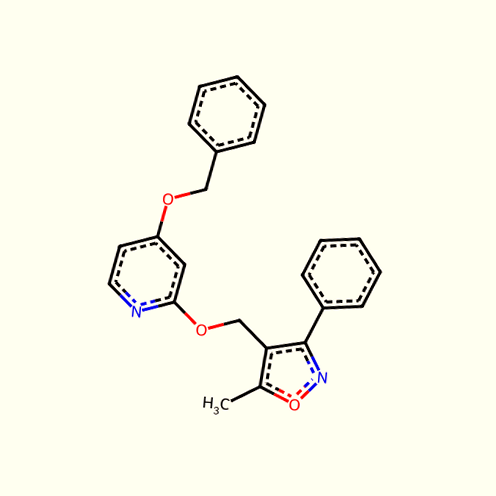 Cc1onc(-c2ccccc2)c1COc1cc(OCc2ccccc2)ccn1